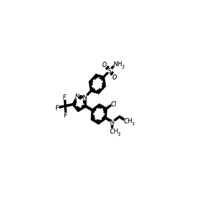 CCN(C)c1ccc(-c2cc(C(F)(F)F)nn2-c2ccc(S(N)(=O)=O)cc2)cc1Cl